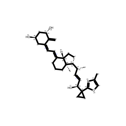 C=C1/C(=C\C=C2/CCC[C@]3(C)[C@@H]([C@H](C)/C=C/[C@H](O)C4(c5nc(C)co5)CC4)CC[C@@H]23)C[C@@H](O)C[C@@H]1O